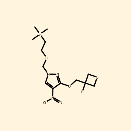 C[Si](C)(C)CCOCn1cc([N+](=O)[O-])c(OCC2(F)COC2)n1